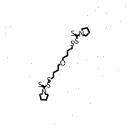 S=C(SSCCCCOCCCCSSC(=S)N1CCCC1)N1CCCC1